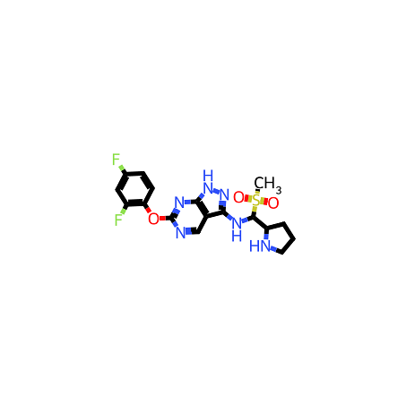 CS(=O)(=O)C(Nc1n[nH]c2nc(Oc3ccc(F)cc3F)ncc12)C1CCCN1